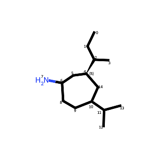 CCC(C)[C@@H]1CC(N)CCC(C(C)C)C1